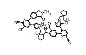 CN1Cc2ccc(-c3nc(C#N)c(Cl)cc3-c3cnn(CC4(C)CCCC4C4c5ccc(-c6nc(C#N)ccc6-c6cnn(CC7(C)CCCC7)c6Cl)cc5C(=O)N4C)c3)cc2C1=O